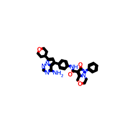 Nc1ncnn2c(C3CCOCC3)cc(-c3ccc(NC(=O)c4c5n(n(-c6ccccc6)c4=O)CCOC5)cc3)c12